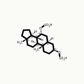 C[C@@]12CCC[C@H]1[C@@H]1[C@H](OS(=O)(=O)O)C[C@H]3C[C@@H](OS(=O)(=O)O)CC[C@]3(C)[C@H]1CC2